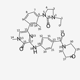 CCN1CCN(c2cccc(-c3cn(C)c(=O)c(Nc4ccc(C(=O)N5CCOCC5)cc4)n3)c2C)C1=O